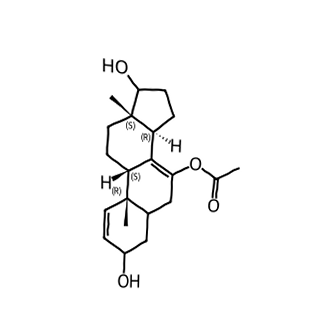 CC(=O)OC1=C2[C@@H](CC[C@]3(C)C(O)CC[C@@H]23)[C@@]2(C)C=CC(O)CC2C1